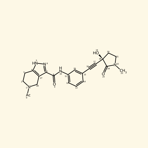 CC(=O)N1CCc2[nH]nc(C(=O)Nc3cccc(C#C[C@]4(O)CCN(C)C4=O)c3)c2C1